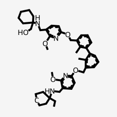 CCC1(NCc2ccc(OCc3cccc(-c4cccc(COc5ccc(CNC6(CO)CCCCC6)c(OC)n5)c4C)c3C)nc2OC)CCCCC1